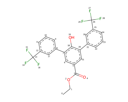 CCOC(=O)c1cc(-c2cccc(C(F)(F)F)c2)c(O)c(-c2cccc(C(F)(F)F)c2)c1